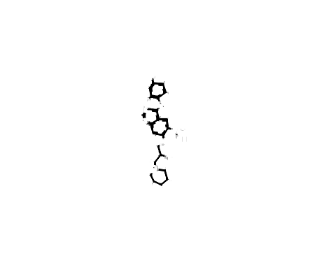 COc1cc2c(Nc3ccc(Cl)cc3F)ncnc2cc1OCC(O)CN1CCCCC1.Cl